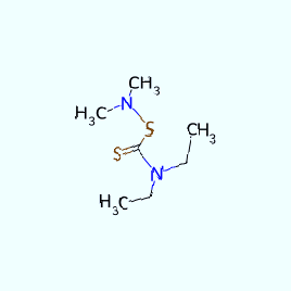 CCN(CC)C(=S)SN(C)C